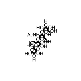 CC(=O)NC1C(O[C@@H]2OC(CO)[C@H](O)C(O)C2O)[C@@H](O)C(CO)O[C@H]1O[C@H]1C(CO)O[C@@H](O[C@@H]2C(CO)O[C@@H](O)C(O)C2O)C(O)C1O